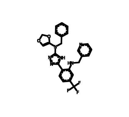 FC(F)(F)c1ccc(-c2nnc(N(Cc3ccccc3)C3=COCO3)[nH]2)c(NCc2cccnc2)c1